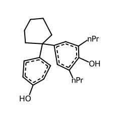 CCCc1cc(C2(c3ccc(O)cc3)CCCCC2)cc(CCC)c1O